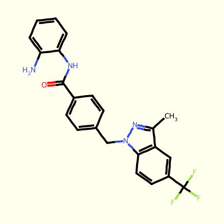 Cc1nn(Cc2ccc(C(=O)Nc3ccccc3N)cc2)c2ccc(C(F)(F)F)cc12